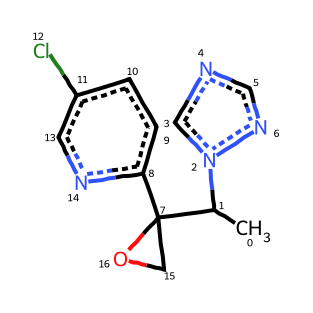 CC(n1cncn1)C1(c2ccc(Cl)cn2)CO1